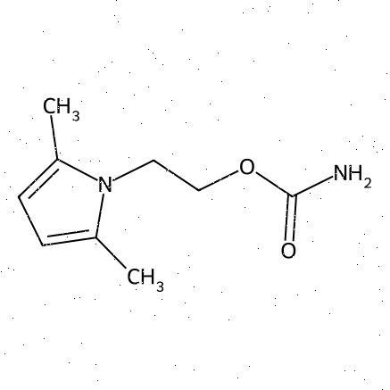 Cc1ccc(C)n1CCOC(N)=O